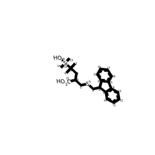 CC(C)(CC(CSCC1c2ccccc2-c2ccccc21)C(=O)O)[Si](C)(C)O